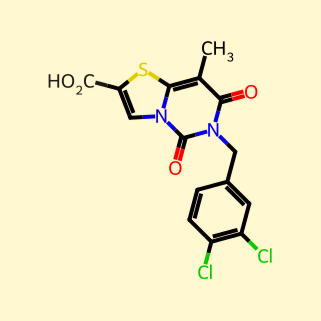 Cc1c(=O)n(Cc2ccc(Cl)c(Cl)c2)c(=O)n2cc(C(=O)O)sc12